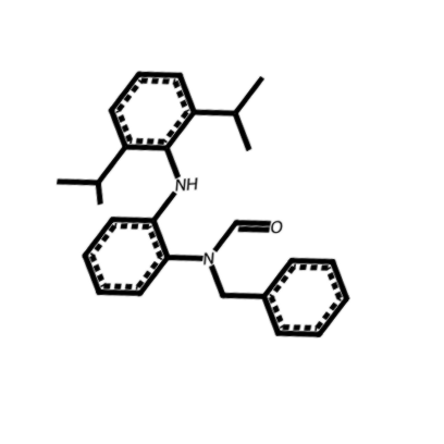 CC(C)c1cccc(C(C)C)c1Nc1ccccc1N(C=O)Cc1ccccc1